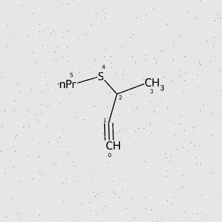 C#CC(C)S[CH]CC